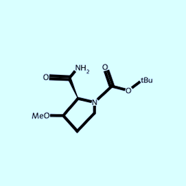 COC1CCN(C(=O)OC(C)(C)C)[C@@H]1C(N)=O